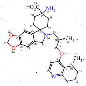 C[C@@H](COc1ccnc2c1[C@H](C)CCC2)CN1Cc2cc3c(cc2C12CCC(N)(C(=O)O)CC2)OCO3